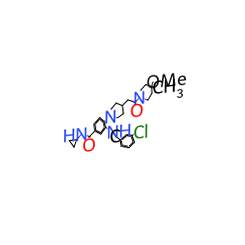 COC1(C)CCN(C(=O)CC2CCN(c3ccc(C(=O)NC4CC4)cc3NCc3cccc(Cl)c3)CC2)CC1